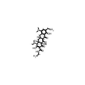 CN(C)c1cc(CN)c(O)c2c1C[C@H]1C[C@H]3[C@H](N(C)C)C(O)=C(C(=O)NCN)C(=O)[C@@]3(O)C(O)=C1C2=O